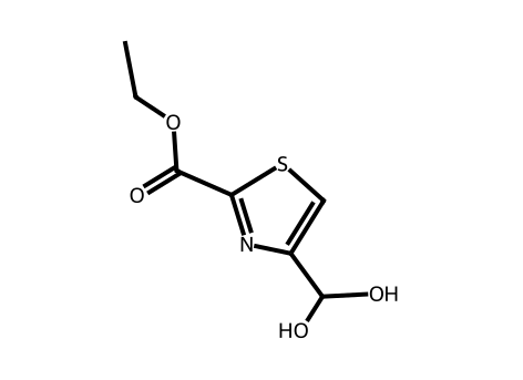 CCOC(=O)c1nc(C(O)O)cs1